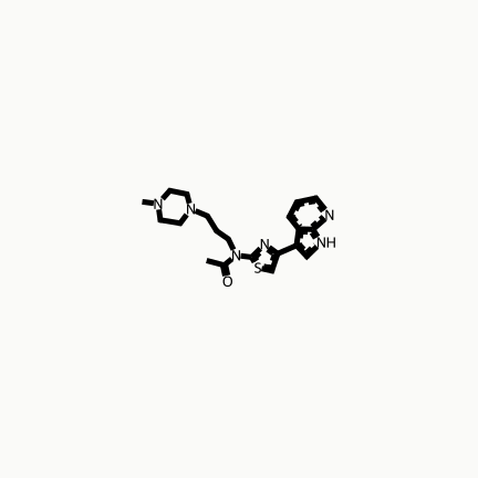 CC(=O)N(CCCN1CCN(C)CC1)c1nc(-c2c[nH]c3ncccc23)cs1